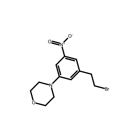 O=[N+]([O-])c1cc(CCBr)cc(N2CCOCC2)c1